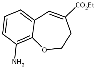 CCOC(=O)C1=Cc2cccc(N)c2OCC1